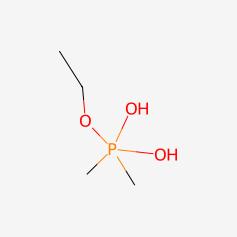 CCOP(C)(C)(O)O